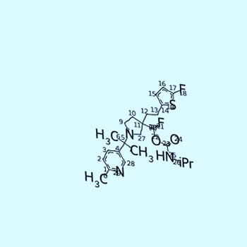 Cc1ccc(C(C)(C)N2CCC(CCc3ccc(F)s3)([C@@H](F)OC(=O)NC(C)C)C2)cn1